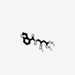 CC(C)CC(N)CNC(=O)c1cccc2occc12